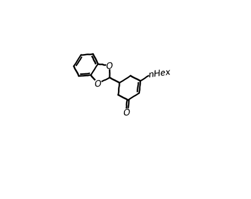 CCCCCCC1=CC(=O)CC(C2Oc3ccccc3O2)C1